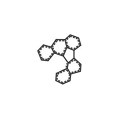 c1ccc2c3c(ccc2c1)-c1cccc2cc4ccccc4c-3c12